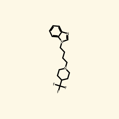 FC(F)(F)C1CCN(CCCCn2cnc3ccccc32)CC1